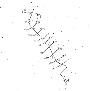 OCCC(F)(F)C(F)(F)C(F)(F)C(F)(F)C(F)(F)C(F)(F)C(F)(F)C(F)(F)OC(F)(C(F)(F)F)C(F)(F)F